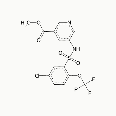 COC(=O)c1cncc(NS(=O)(=O)c2cc(Cl)ccc2OC(F)(F)F)c1